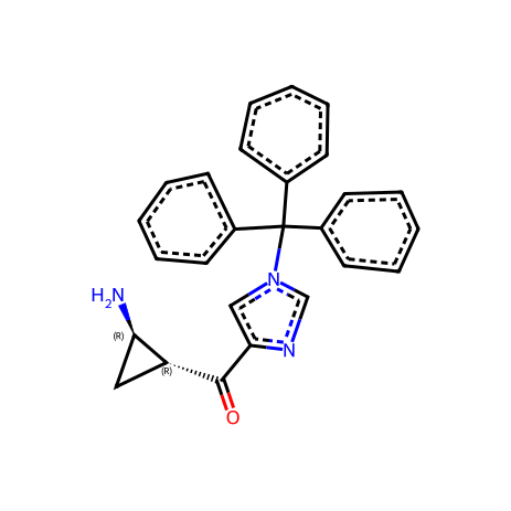 N[C@@H]1C[C@H]1C(=O)c1cn(C(c2ccccc2)(c2ccccc2)c2ccccc2)cn1